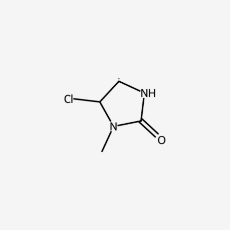 CN1C(=O)N[CH]C1Cl